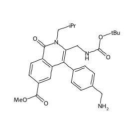 COC(=O)c1ccc2c(=O)n(CC(C)C)c(CNC(=O)OC(C)(C)C)c(-c3ccc(CN)cc3)c2c1